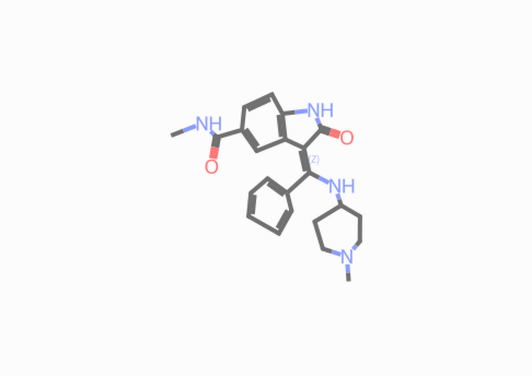 CNC(=O)c1ccc2c(c1)/C(=C(/NC1CCN(C)CC1)c1ccccc1)C(=O)N2